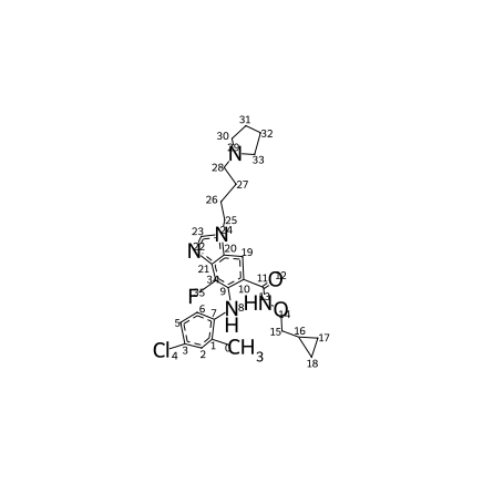 Cc1cc(Cl)ccc1Nc1c(C(=O)NOCC2CC2)cc2c(ncn2CCCCN2CCCC2)c1F